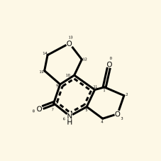 O=C1COCc2[nH]c(=O)c3c(c21)COCC3